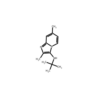 Cc1ccn2c(NC(C)(C)C)c(C)nc2c1